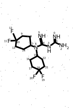 N=C(N)NC(=N)N(C1CCC(F)(F)CC1)C1CCC(F)(F)CC1